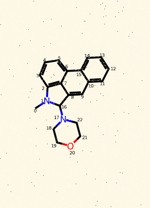 CN1c2cccc3c2c(cc2ccccc23)C1N1CCOCC1